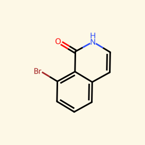 O=c1[nH]ccc2cccc(Br)c12